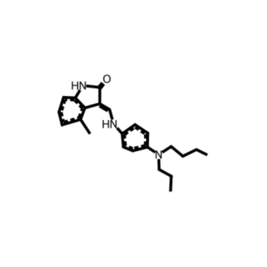 CCCCN(CCC)c1ccc(N/C=C2/C(=O)Nc3cccc(C)c32)cc1